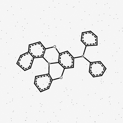 c1ccc(N(c2ccccc2)c2cc3c4c(c2)Oc2ccc5ccccc5c2B4c2ccccc2O3)cc1